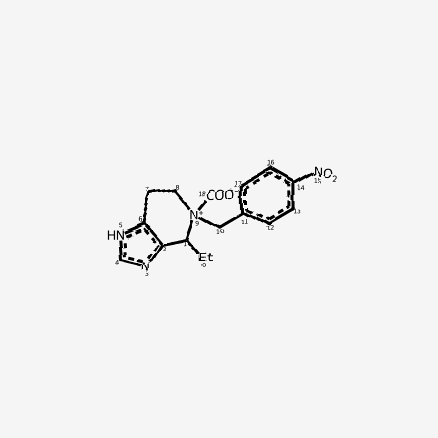 CCC1c2nc[nH]c2CC[N+]1(Cc1ccc([N+](=O)[O-])cc1)C(=O)[O-]